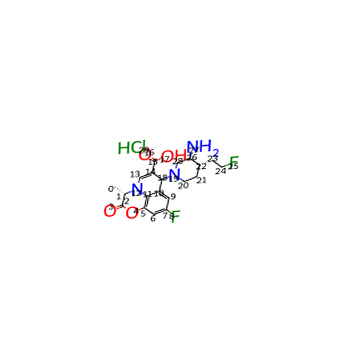 C[C@H]1C(=O)Oc2cc(F)cc3c2N1C=C(C(=O)O)C3N1CC[C@@H](CCF)[C@H](N)C1.Cl